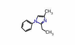 CCc1nc(C)cn1-c1ccccc1